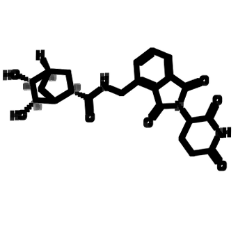 O=C1CCC(N2C(=O)c3cccc(CNC(=O)[C@H]4C[C@@H]5CC4[C@H](O)[C@@H]5O)c3C2=O)C(=O)N1